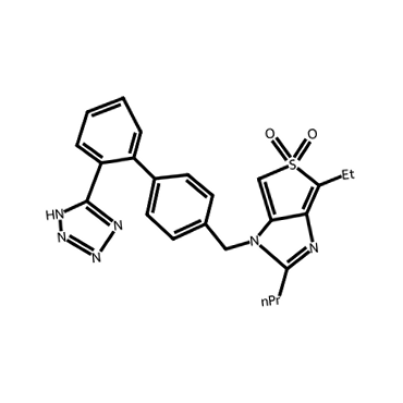 CCCc1nc2c(n1Cc1ccc(-c3ccccc3-c3nnn[nH]3)cc1)=CS(=O)(=O)C=2CC